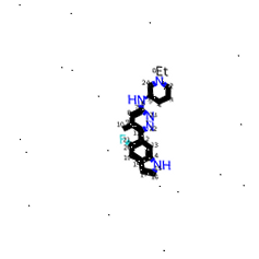 CCN1CCC[C@@H](Nc2cc(C)c(-c3cc4[nH]ccc4cc3F)nn2)C1